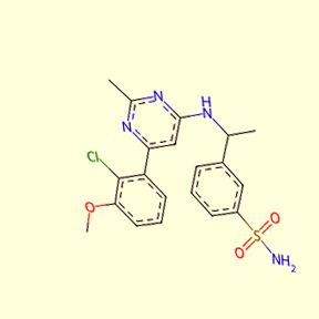 COc1cccc(-c2cc(NC(C)c3cccc(S(N)(=O)=O)c3)nc(C)n2)c1Cl